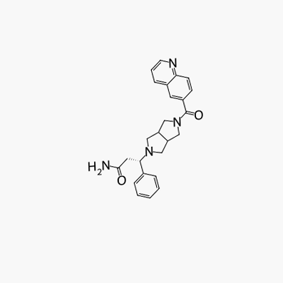 NC(=O)C[C@@H](c1ccccc1)N1CC2CN(C(=O)c3ccc4ncccc4c3)CC2C1